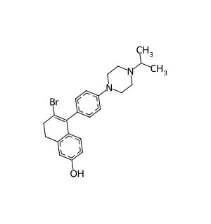 CC(C)N1CCN(c2ccc(C3=C(Br)CCc4cc(O)ccc43)cc2)CC1